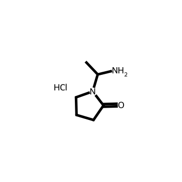 CC(N)N1CCCC1=O.Cl